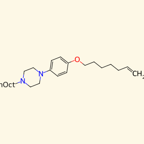 C=CCCCCCOc1ccc(N2CCN(CCCCCCCC)CC2)cc1